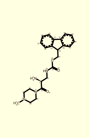 CN1CCN(C(=O)[C@@H](N)CNC(=O)OCC2c3ccccc3-c3ccccc32)CC1